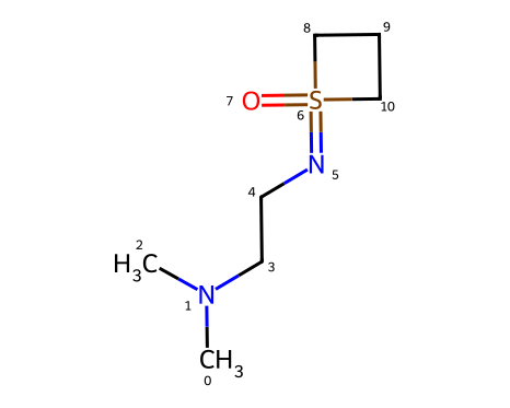 CN(C)CCN=S1(=O)CCC1